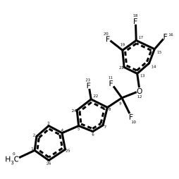 Cc1ccc(-c2ccc(C(F)(F)Oc3cc(F)c(F)c(F)c3)c(F)c2)cc1